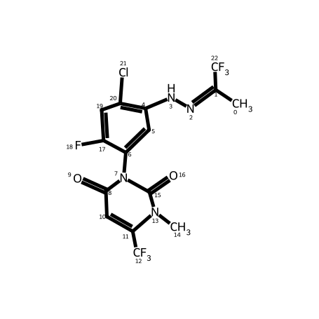 C/C(=N/Nc1cc(-n2c(=O)cc(C(F)(F)F)n(C)c2=O)c(F)cc1Cl)C(F)(F)F